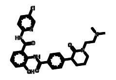 CN(C)CCN1CCCC(c2ccc(C(=O)Nc3c(O)cccc3C(=O)Nc3ccc(Cl)cn3)cc2)C1=O